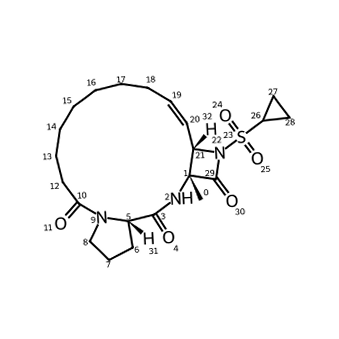 C[C@@]12NC(=O)[C@@H]3CCCN3C(=O)CCCCCCC/C=C\[C@@H]1N(S(=O)(=O)C1CC1)C2=O